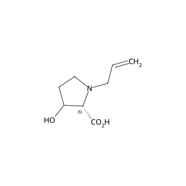 C=CCN1CCC(O)[C@H]1C(=O)O